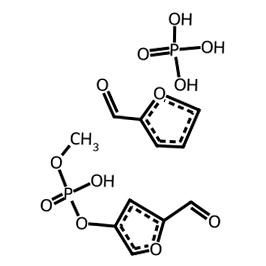 COP(=O)(O)Oc1coc(C=O)c1.O=Cc1ccco1.O=P(O)(O)O